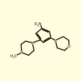 CN1CCN(c2cc(N3CCOCC3)cc([N+](=O)[O-])c2)CC1